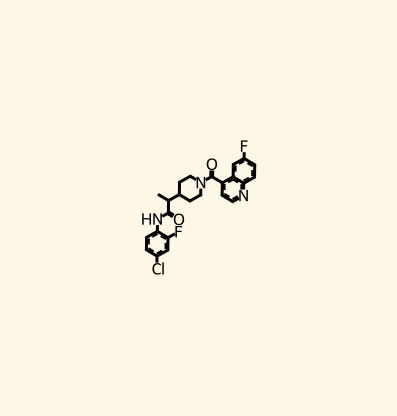 CC(C(=O)Nc1ccc(Cl)cc1F)C1CCN(C(=O)c2ccnc3ccc(F)cc23)CC1